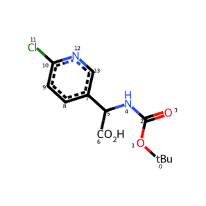 CC(C)(C)OC(=O)NC(C(=O)O)c1ccc(Cl)nc1